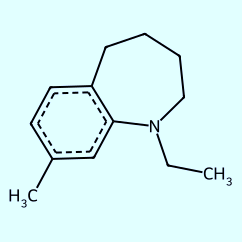 CCN1CCCCc2ccc(C)cc21